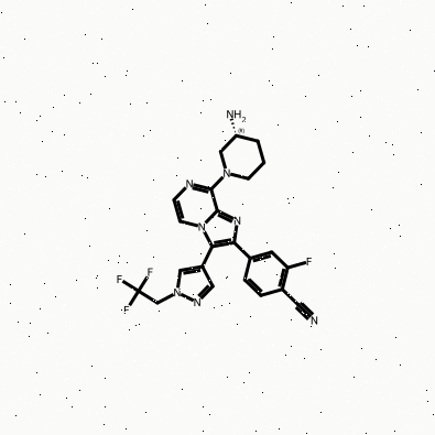 N#Cc1ccc(-c2nc3c(N4CCC[C@@H](N)C4)nccn3c2-c2cnn(CC(F)(F)F)c2)cc1F